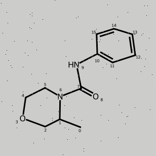 CC1COCCN1C(=O)Nc1cc[c]cc1